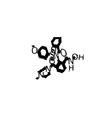 COc1ccc(S(=O)(=O)N(Cc2ccccc2)c2c(CN3CCN(C)CC3)cccc2C(=O)NO)cc1